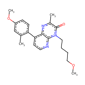 COCCCCn1c(=O)c(C)nc2c(-c3ccc(OC)cc3C)ccnc21